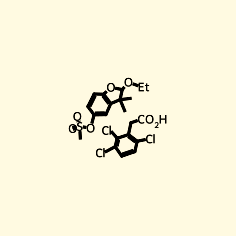 CCOC1Oc2ccc(OS(C)(=O)=O)cc2C1(C)C.O=C(O)Cc1c(Cl)ccc(Cl)c1Cl